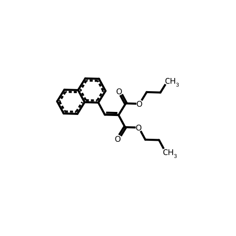 CCCOC(=O)C(=Cc1cccc2ccccc12)C(=O)OCCC